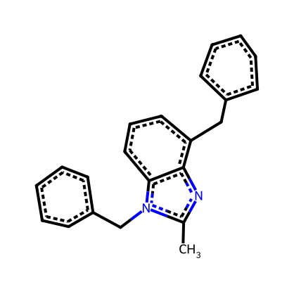 Cc1nc2c(Cc3ccccc3)cccc2n1Cc1ccccc1